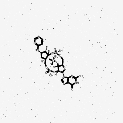 CC(C)(C)[Si](C)(C)O[C@H]1[C@H]2O[P@@](O)(=S)OC[C@H]3C[C@@H](Nc4ccncn4)[C@@H](F)[C@@H]3O[P@](=O)(S)OC[C@H]1O[C@H]2n1cnc2c(=O)[nH]c(N)nc21